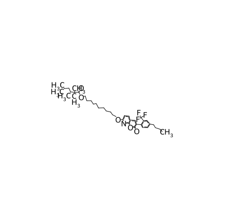 CCCCc1ccc(-c2cc3ccc(OCCCCCCCCCCCOC(=O)C(C)(C)C(C)CC(C)C)nc3oc2=O)c(C(F)(F)F)c1